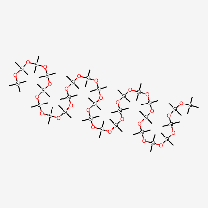 C[Si](C)(C)O[Si](C)(C)O[Si](C)(C)O[Si](C)(C)O[Si](C)(C)O[Si](C)(C)O[Si](C)(C)O[Si](C)(C)O[Si](C)(C)O[Si](C)(C)O[Si](C)(C)O[Si](C)(C)O[Si](C)(C)O[Si](C)(C)O[Si](C)(C)O[Si](C)(C)O[Si](C)(C)O[Si](C)(C)O[Si](C)(C)O[Si](C)(C)O[Si](C)(C)O[Si](C)(C)O[Si](C)(C)O[Si](C)(C)O[Si](C)(C)O[Si](C)(C)O[Si](C)(C)C